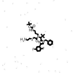 CC(C)(C)OC(=O)NCCCN(C(=O)CSCCN)C(c1nc(-c2cc(F)ccc2F)cn1Cc1ccccc1)C(C)(C)C